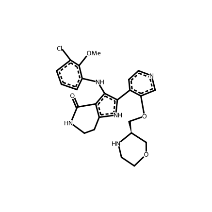 COc1c(Cl)cccc1Nc1c(-c2ccncc2OC[C@H]2COCCN2)[nH]c2c1C(=O)NCC2